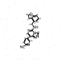 N#Cc1ccc(-c2cnc(NCc3cccc4c3CCO4)n3cnnc23)cn1